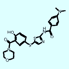 CN(C)c1ccc(C(=O)Nc2ncc(Sc3ccc(O)c(C(=O)N4CCOCC4)c3)s2)cc1